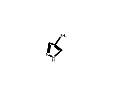 Bc1cn[nH]c1